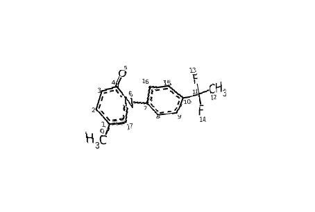 Cc1ccc(=O)n(-c2ccc(C(C)(F)F)cc2)c1